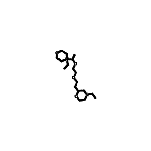 CCN1CCOC(CCOCCOC(C)[N+]2(CC)CCOCC2)C1